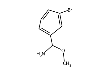 COC(N)c1cccc(Br)c1